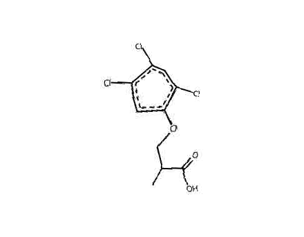 CC(COc1cc(Cl)c(Cl)cc1Cl)C(=O)O